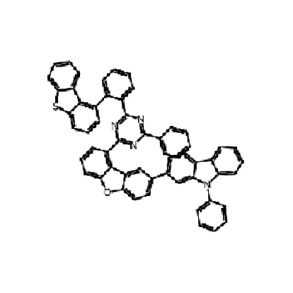 c1ccc(-c2nc(-c3ccccc3-c3cccc4sc5ccccc5c34)nc(-c3cccc4oc5ccc(-c6ccc7c8ccccc8n(-c8ccccc8)c7c6)cc5c34)n2)cc1